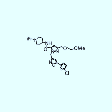 COCCOCc1cc(C(=O)NC2CCN(C(C)C)CC2)n(Cc2cc(-c3ccc(Cl)s3)on2)n1